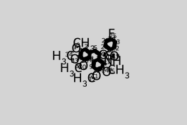 COc1cc(/C=C\c2ccc(OC)c(OC)c2NS(=O)(=O)c2ccc(F)cc2)cc(OC)c1OC